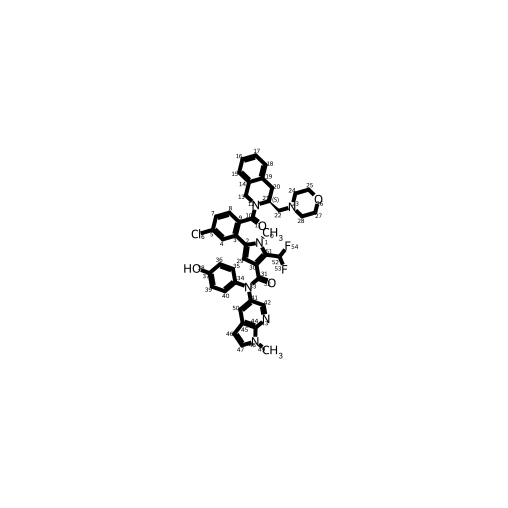 Cn1c(-c2cc(Cl)ccc2C(=O)N2Cc3ccccc3C[C@H]2CN2CCOCC2)cc(C(=O)N(c2ccc(O)cc2)c2cnc3c(ccn3C)c2)c1C(F)F